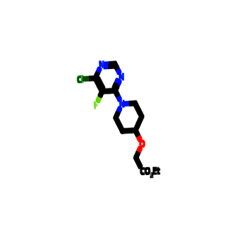 CCOC(=O)COC1CCN(c2ncnc(Cl)c2F)CC1